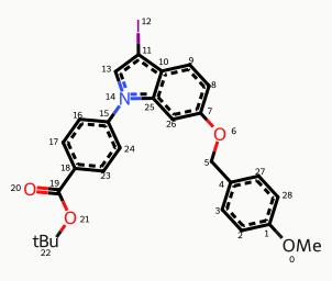 COc1ccc(COc2ccc3c(I)cn(-c4ccc(C(=O)OC(C)(C)C)cc4)c3c2)cc1